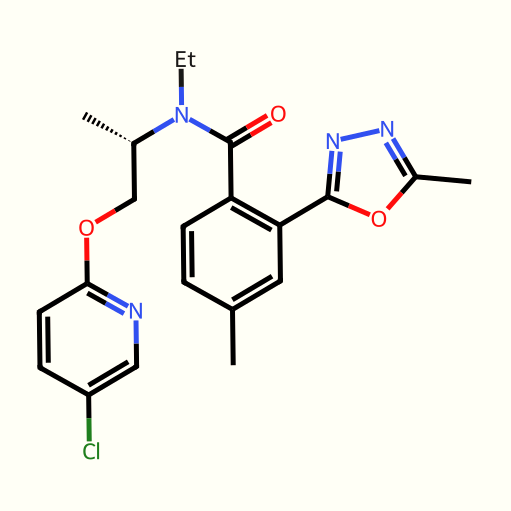 CCN(C(=O)c1ccc(C)cc1-c1nnc(C)o1)[C@@H](C)COc1ccc(Cl)cn1